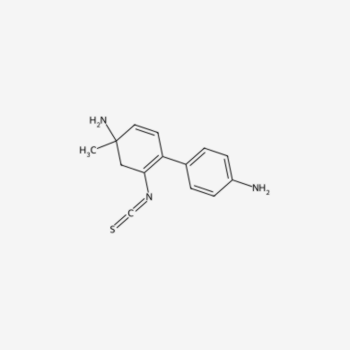 CC1(N)C=CC(c2ccc(N)cc2)=C(N=C=S)C1